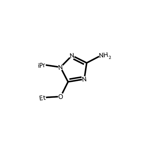 CCOc1nc(N)nn1C(C)C